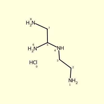 Cl.NCCNC(N)CN